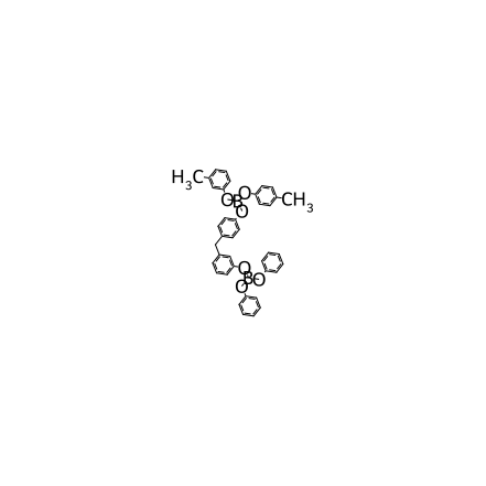 Cc1ccc(OB(Oc2ccc(Cc3cccc(OB(Oc4ccccc4)Oc4ccccc4)c3)cc2)Oc2cccc(C)c2)cc1